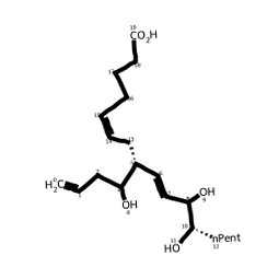 C=CCC(O)[C@@H](/C=C/C(O)[C@@H](O)CCCCC)C/C=C\CCCC(=O)O